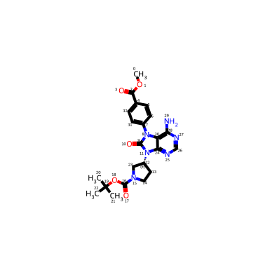 COC(=O)c1ccc(-n2c(=O)n([C@@H]3CCN(C(=O)OC(C)(C)C)C3)c3ncnc(N)c32)cc1